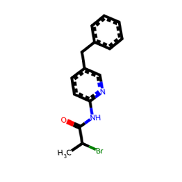 CC(Br)C(=O)Nc1ccc(Cc2ccccc2)cn1